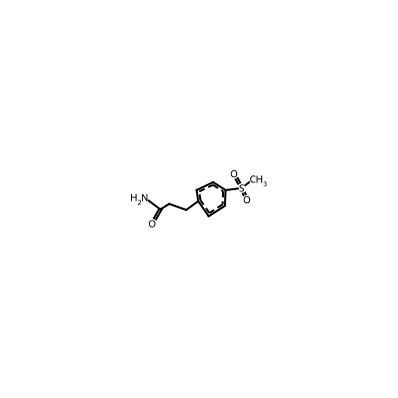 CS(=O)(=O)c1ccc(CCC(N)=O)cc1